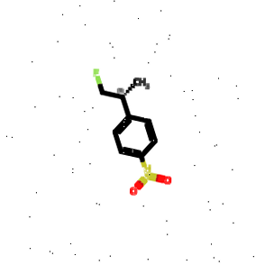 C[C@@H](CF)c1ccc([SH](=O)=O)cc1